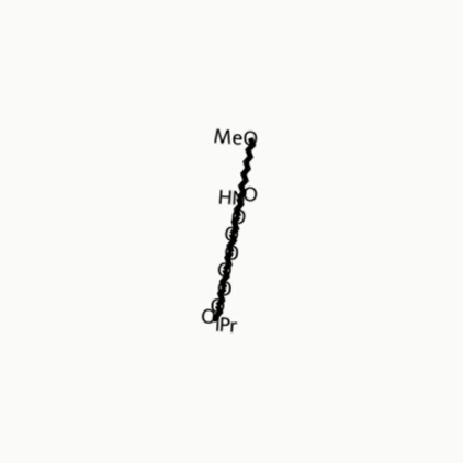 COCCCCCCCCC(=O)NCCOCCOCCOCCOCCOCCOCC(=O)C(C)C